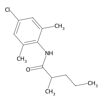 CCCC(C)C(=O)Nc1c(C)cc(Cl)cc1C